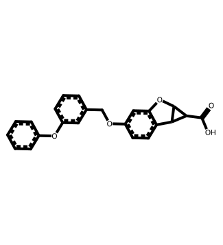 O=C(O)C1C2Oc3cc(OCc4cccc(Oc5ccccc5)c4)ccc3C21